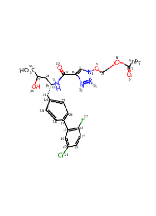 CCCC(=O)OCOn1cc(C(=O)N[C@H](Cc2ccc(-c3cc(Cl)ccc3F)cc2)CC(O)C(=O)O)nn1